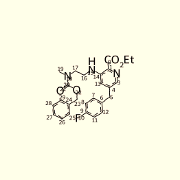 CCOC(=O)c1ncc(Cc2ccc(F)cc2)cc1NCCN(C)C(=O)OCc1ccccc1